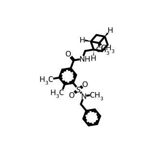 Cc1cc(C(=O)NC[C@@H]2CC[C@H]3C[C@@H]2C3(C)C)cc(S(=O)(=O)N(C)Cc2ccccc2)c1C